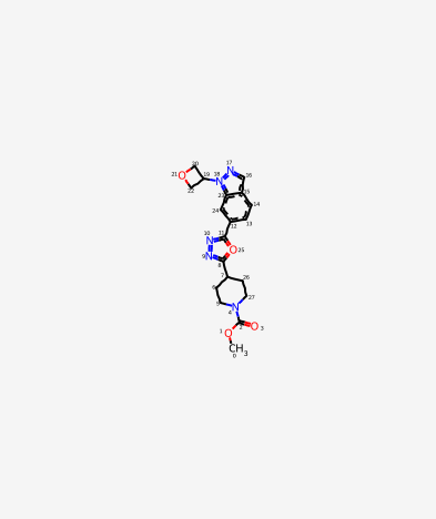 COC(=O)N1CCC(c2nnc(-c3ccc4cnn(C5COC5)c4c3)o2)CC1